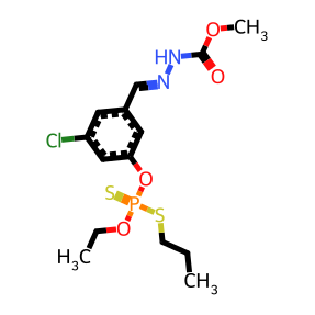 CCCSP(=S)(OCC)Oc1cc(Cl)cc(C=NNC(=O)OC)c1